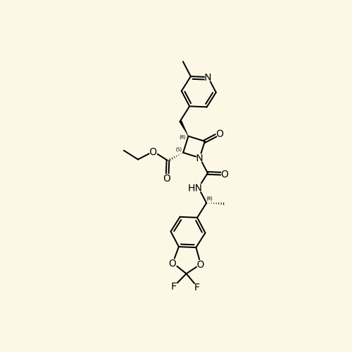 CCOC(=O)[C@@H]1[C@@H](Cc2ccnc(C)c2)C(=O)N1C(=O)N[C@H](C)c1ccc2c(c1)OC(F)(F)O2